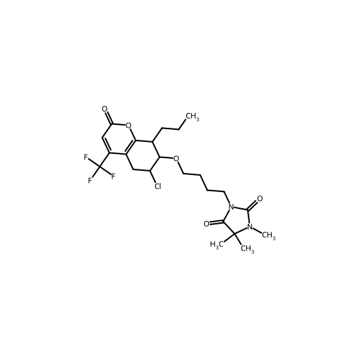 CCCC1c2oc(=O)cc(C(F)(F)F)c2CC(Cl)C1OCCCCN1C(=O)N(C)C(C)(C)C1=O